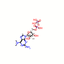 CN(C)c1nc(N)nc2c1ncn2[C@@H]1O[C@H](COP(=O)(O)OP(=O)(O)O)[C@@H](O)[C@@]1(C)O